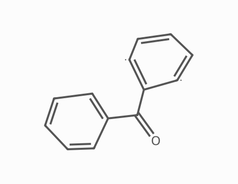 O=C(c1[c]ccc[c]1)c1ccccc1